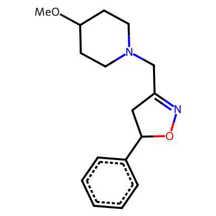 COC1CCN(CC2=NOC(c3ccccc3)C2)CC1